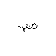 CNC(=O)C(N)=CC1CCOCC1